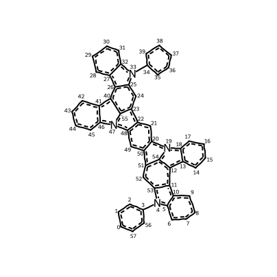 c1ccc(-n2c3ccccc3c3c4c5ccccc5n5c6cc7c8cc9c(c%10ccccc%10n9-c9ccccc9)c9c%10ccccc%10n(c7cc6c(cc32)c45)c89)cc1